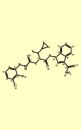 CC(C1CC1)N(CC(=O)NCc1cccc(Cl)c1F)C(=O)Cn1nc(C(N)=O)c2ccccc21